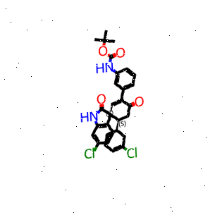 CC(C)(C)OC(=O)Nc1cccc(C2=C[C@@]3(C(=O)Nc4cc(Cl)ccc43)[C@H](C3C=CC=C(Cl)C3)CC2=O)c1